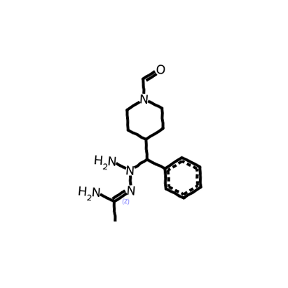 C/C(N)=N/N(N)C(c1ccccc1)C1CCN(C=O)CC1